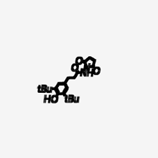 CC(C)(C)c1cc(CCC(=O)NN2C(=O)CCC2=O)cc(C(C)(C)C)c1O